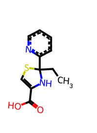 CCC1(c2ccccn2)NC(C(=O)O)=CS1